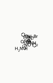 CC(C)(C)[N+]1(C(=O)[C@@H](O)[C@H](Cc2ccccc2)NC(=O)[C@H](CC(N)=O)NC(=O)OCc2ccccc2)C[C@@H](Br)C[C@H]1C(N)=O